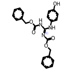 O=C(/N=C(/NC(=O)OCc1ccccc1)Nc1ccc(O)cc1)OCc1ccccc1